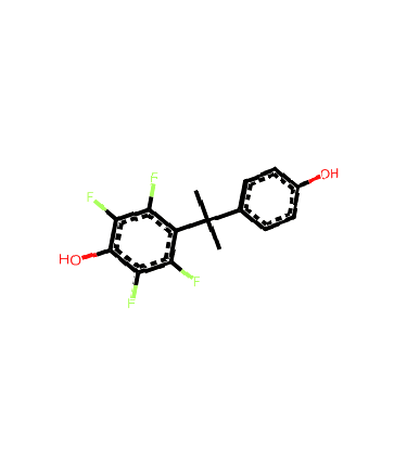 CC(C)(c1ccc(O)cc1)c1c(F)c(F)c(O)c(F)c1F